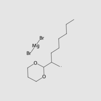 [Br][Mg][Br].[CH2]C(CCCCCC)C1OCCCO1